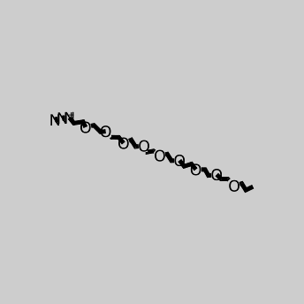 CCCOCCOCCOCCOCCOCCOCCOCCOCCOCCN=[N+]=[N-]